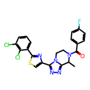 CC1c2nnc(-c3csc(-c4cccc(Cl)c4Cl)n3)n2CCN1C(=O)c1ccc(F)cc1